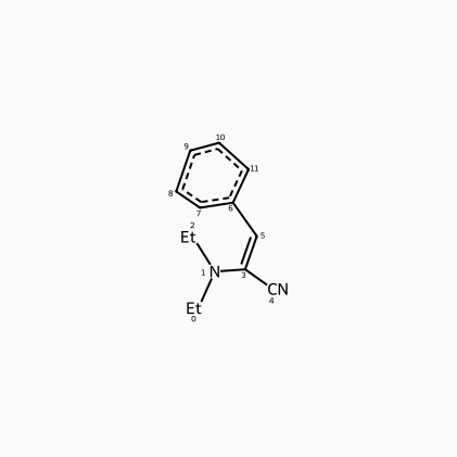 CCN(CC)C(C#N)=Cc1ccccc1